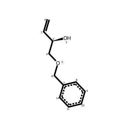 C=C[C@@H](O)COCc1ccccc1